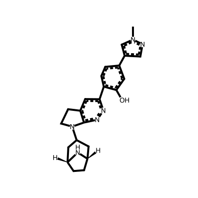 Cn1cc(-c2ccc(-c3cc4c(nn3)N(C3C[C@H]5CC[C@@H](C3)N5)CC4)c(O)c2)cn1